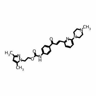 Cc1cc(C)n(CCOC(=O)Nc2ccc(C(=O)C=Cc3cccc(N4CCN(C)CC4)n3)cc2)n1